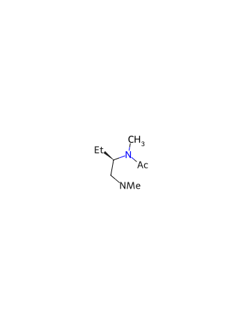 CC[C@H](CNC)N(C)C(C)=O